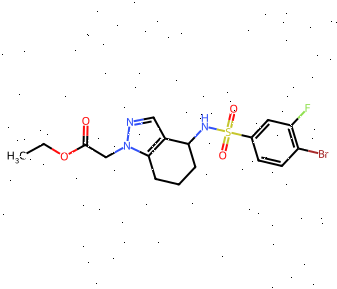 CCOC(=O)Cn1ncc2c1CCCC2NS(=O)(=O)c1ccc(Br)c(F)c1